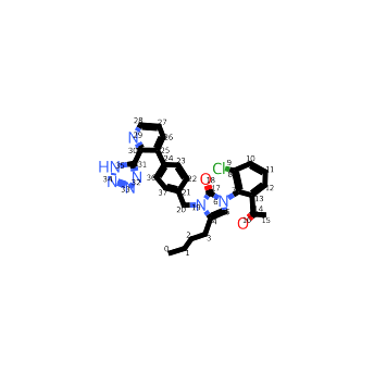 CCCCc1cn(-c2c(Cl)cccc2C(C)=O)c(=O)n1Cc1ccc(-c2cccnc2-c2nnn[nH]2)cc1